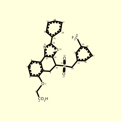 O=C(O)COc1cccc2c1CC(S(=O)(=O)Cc1cccc(C(F)(F)F)c1)c1sc(-c3ccccc3)nc1-2